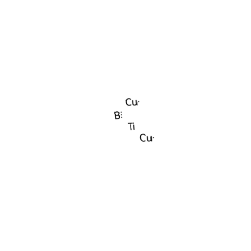 [B].[Cu].[Cu].[Ti]